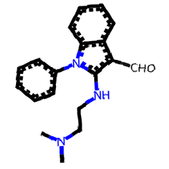 CN(C)CCNc1c(C=O)c2ccccc2n1-c1ccccc1